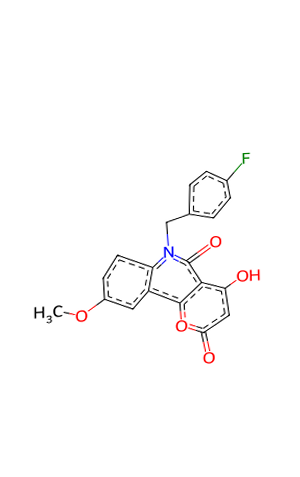 COc1ccc2c(c1)c1oc(=O)cc(O)c1c(=O)n2Cc1ccc(F)cc1